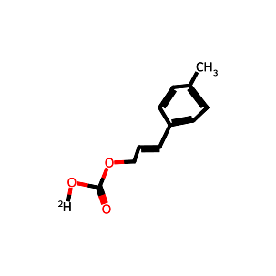 [2H]OC(=O)OC/C=C/c1ccc(C)cc1